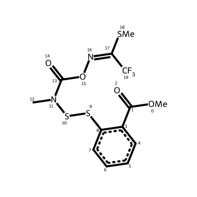 COC(=O)c1ccccc1SSN(C)C(=O)ON=C(SC)C(F)(F)F